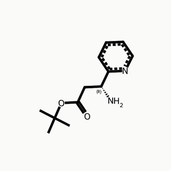 CC(C)(C)OC(=O)C[C@@H](N)c1ccccn1